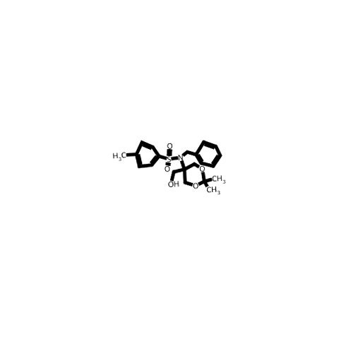 Cc1ccc(S(=O)(=O)N(Cc2ccccc2)C2(CO)COC(C)(C)OC2)cc1